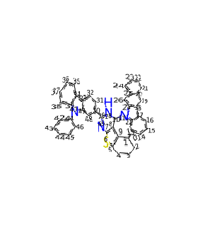 CC1CC=Cc2sc3c(c21)C(n1c2ccccc2c2cc4ccccc4cc21)NC(c1ccc2c4ccccc4n(-c4ccccc4)c2c1)=N3